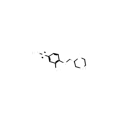 NS(=O)(=O)c1ccc(NC[C@@H]2CNCCO2)c([N+](=O)[O-])c1